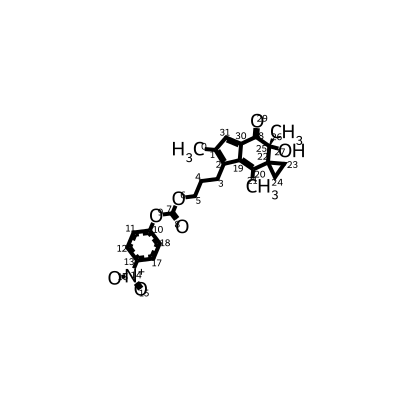 CC1=C(CCCOC(=O)Oc2ccc([N+](=O)[O-])cc2)C2=C(C)C3(CC3)[C@@](C)(O)C(=O)C2=C1